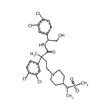 CN(C1CCN(CCC(C)(C(=O)NC(CO)c2ccc(Cl)c(Cl)c2)c2ccc(Cl)c(Cl)c2)CC1)S(C)(=O)=O